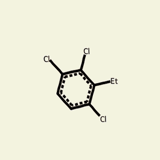 CCc1c(Cl)ccc(Cl)c1Cl